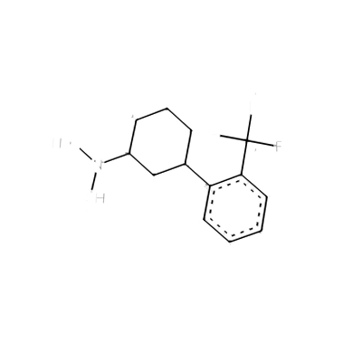 CN(C)C1CCCC(c2ccccc2C(F)(F)F)C1